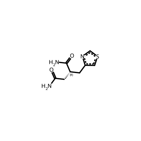 NC(=O)C[C@@H](Cc1cscn1)C(N)=O